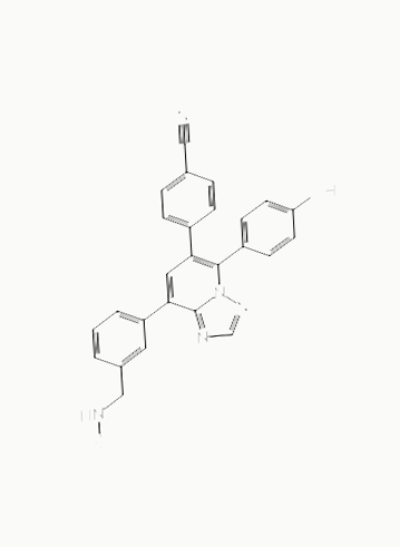 CNCc1cccc(-c2cc(-c3ccc(C#N)cc3)c(-c3ccc(C)cc3)n3ncnc23)c1